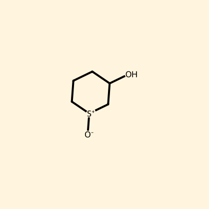 [O-][S+]1CCCC(O)C1